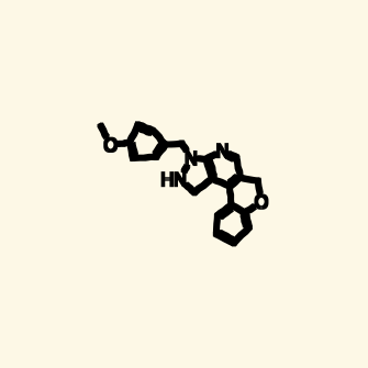 COc1ccc(CN2NCc3c2ncc2c3-c3ccccc3OC2)cc1